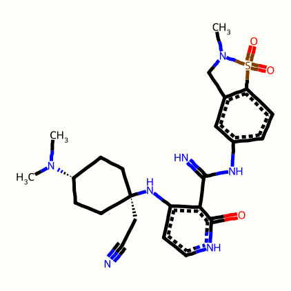 CN1Cc2cc(NC(=N)c3c(N[C@]4(CC#N)CC[C@@H](N(C)C)CC4)cc[nH]c3=O)ccc2S1(=O)=O